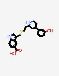 O=C(O)c1ccc2[nH]cc(CSCCC3CC(c4cccc(O)c4)=CCN3)c2c1